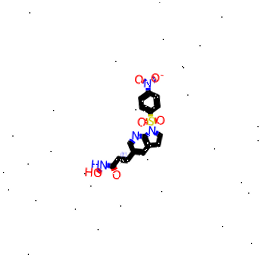 O=C(/C=C/c1cnc2c(c1)CCN2S(=O)(=O)c1ccc([N+](=O)[O-])cc1)NO